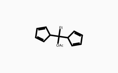 CCC(OC(C)=O)(C1C=CC=C1)C1C=CC=C1